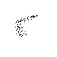 [Cr+3].[Cr+3].[O-2].[O-2].[O-2].[O-2].[O-2].[Pb+2].[Pb+2]